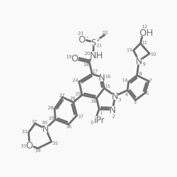 CC(C)c1nn(-c2cccc(N3CC(O)C3)c2)c2nc(C(=O)N[S+](C)[O-])cc(-c3ccc(N4CCOCC4)cc3)c12